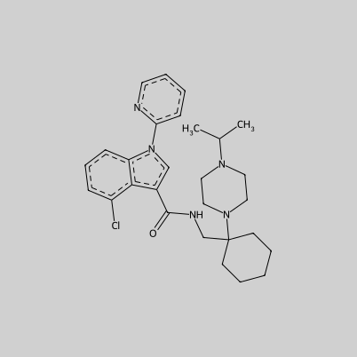 CC(C)N1CCN(C2(CNC(=O)c3cn(-c4ccccn4)c4cccc(Cl)c34)CCCCC2)CC1